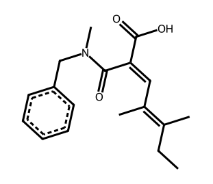 CC/C(C)=C(C)/C=C(/C(=O)O)C(=O)N(C)Cc1ccccc1